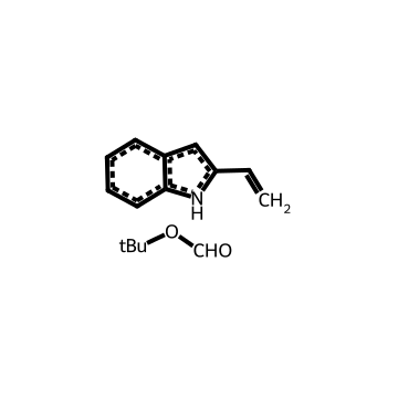 C=Cc1cc2ccccc2[nH]1.CC(C)(C)OC=O